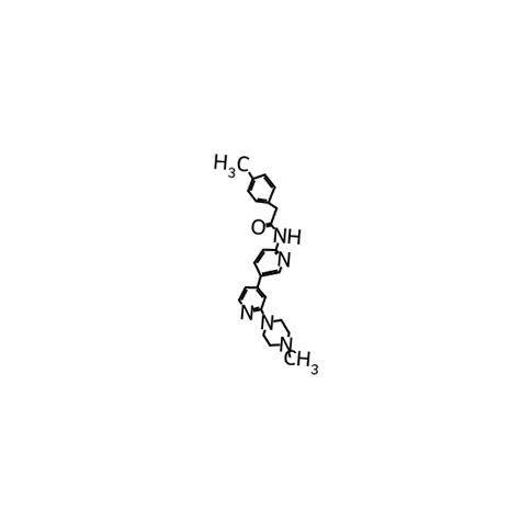 Cc1ccc(CC(=O)Nc2ccc(-c3ccnc(N4CCN(C)CC4)c3)cn2)cc1